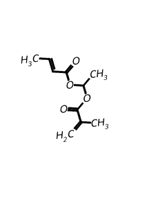 C=C(C)C(=O)OC(C)OC(=O)C=CC